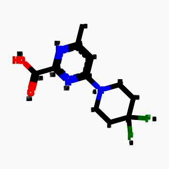 Cc1cc(N2CCC(F)(F)CC2)nc(C(=O)O)n1